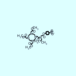 COC(=O)CN1CCN(CC(=O)OC)CCN(CC(=O)N(CC(=O)Oc2ccc([N+](=O)[O-])cc2)CC(C)C)CCN(CC(=O)OC)CC1